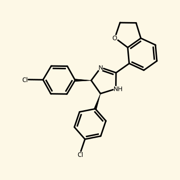 Clc1ccc([C@H]2N=C(c3cccc4c3OCC4)N[C@H]2c2ccc(Cl)cc2)cc1